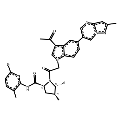 CC(=O)c1cn(CC(=O)N2[C@H](I)[C@@H](C)C[C@H]2C(=O)Nc2nc(Br)ccc2C)c2ccc(-c3cnc4cc(C)nn4c3)cc12